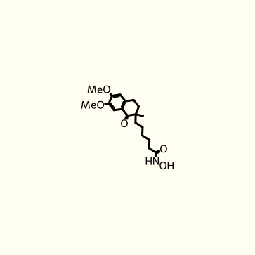 COc1cc2c(cc1OC)C(=O)C(C)(CCCCCC(=O)NO)CC2